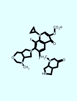 CN1CC(=O)CC2CNCC21.CN1COCC2CN(c3c(F)cc4c(=O)c(OC(=O)O)cn(C5CC5)c4c3F)CC21